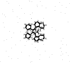 CC[Si]1(C)C(c2cccc3ncccc23)=C(c2ccccc2)C(c2ccccc2)=C1c1cccc2ncccc12